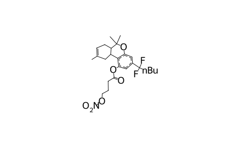 CCCCC(F)(F)c1cc(OC(=O)CCCO[N+](=O)[O-])c2c(c1)OC(C)(C)C1CC=C(C)CC21